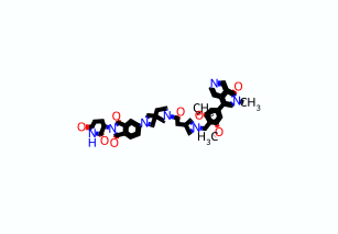 COc1cc(-c2cn(C)c(=O)c3cnccc23)cc(OC)c1CN1CC(CC(=O)N2CCC3(C2)CN(c2ccc4c(c2)C(=O)N(C2CCC(=O)NC2=O)C4=O)C3)C1